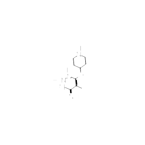 C/C(C(=N)Cl)=C(/NN)OC1CCNCC1